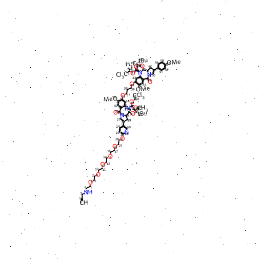 C#CCNCCOCCOCCOCCOCCOCCOc1ccc(C2=CN3C(=O)c4cc(OC)c(OCCCOc5cc6c(cc5OC)C(=O)N5C=C(c7ccc(OC)cc7)CC5C(O[Si](C)(C)C(C)(C)C)N6C(=O)OCC(Cl)(Cl)Cl)cc4N(C(=O)OCC(Cl)(Cl)Cl)C(O[Si](C)(C)C(C)(C)C)C3C2)cn1